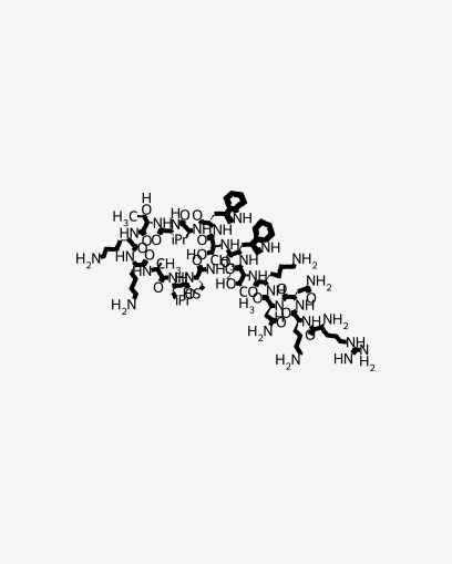 CC(C)C[C@H](NC(=O)[C@H](C)NC(=O)[C@H](CCCCN)NC(=O)[C@H](CCCCN)NC(=O)[C@@H](NC(=O)CNC(=O)[C@@H](NC(=O)[C@H](Cc1c[nH]c2ccccc12)NC(=O)[C@@H](NC(=O)[C@H](Cc1c[nH]c2ccccc12)NC(=O)[C@@H](NC(=O)[C@H](CCCCN)NC(=O)[C@H](CC(N)=O)NC(=O)[C@H](CC(N)=O)NC(=O)[C@H](CCCCN)NC(=O)[C@@H](N)CCCNC(=N)N)[C@@H](C)O)[C@@H](C)O)C(C)C)[C@@H](C)O)C(=O)N[C@@H](CS)C(N)=O